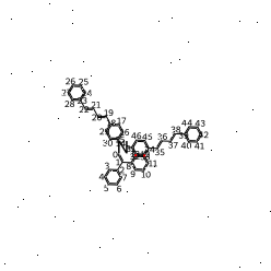 C(=C(c1ccccc1)c1ccccc1)N(c1ccc(/C=C/C=C/c2ccccc2)cc1)c1ccc(/C=C/C=C/c2ccccc2)cc1